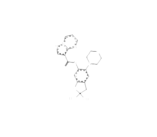 CC1(C)Cc2cc(N3CCOCC3)c(NC(=O)c3cnn4cccnc34)cc2O1